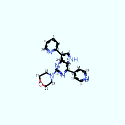 c1ccc(-c2c[nH]c3c(-c4ccncc4)nc(N4CCOCC4)nc23)nc1